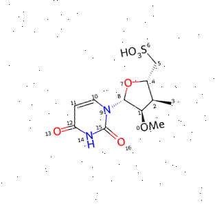 CO[C@@H]1[C@H](C)[C@@H](CS(=O)(=O)O)O[C@H]1n1ccc(=O)[nH]c1=O